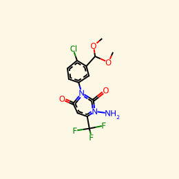 COC(OC)c1cc(-n2c(=O)cc(C(F)(F)F)n(N)c2=O)ccc1Cl